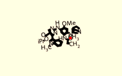 C=CC(=O)Nc1cc(Nc2ncc(C(=O)OC(C)C)c(-c3cn(C)c4ccccc34)n2)c(OC)cc1N(C)C1CN2CCC1CC2